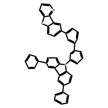 c1ccc(-c2ccc3c(c2)c2cc(-c4ccccc4)ccc2n3-c2cccc(-c3cccc(-c4ccc5sc6cccnc6c5c4)c3)c2)cc1